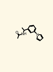 CC(=O)NC(C)c1cccc(-n2cccc2)c1